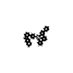 c1ccc(-c2ccc(-c3nc(-c4ccc(-c5cccc6oc7cc8ccccc8cc7c56)cc4)nc(-c4ccccc4-c4ccccc4)n3)cc2)cc1